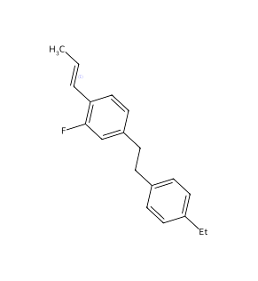 C/C=C/c1ccc(CCc2ccc(CC)cc2)cc1F